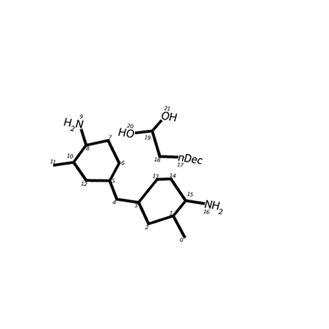 CC1CC(CC2CCC(N)C(C)C2)CCC1N.CCCCCCCCCCCC(O)O